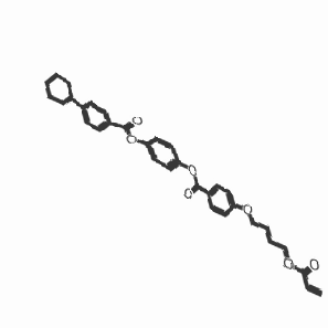 C=CC(=O)OCCCCOc1ccc(C(=O)Oc2ccc(OC(=O)c3ccc(C4CCCCC4)cc3)cc2)cc1